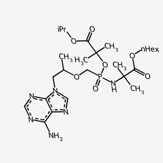 CCCCCCOC(=O)C(C)(C)NP(=O)(COC(C)Cn1cnc2c(N)ncnc21)OC(C)(C)C(=O)OC(C)C